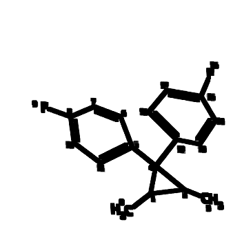 CC1C(C)C1(c1ccc(F)cc1)c1ccc(F)cc1